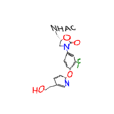 CC(=O)NC[C@H]1CN(c2ccc(Oc3ccc(CO)cn3)c(F)c2)C(=O)O1